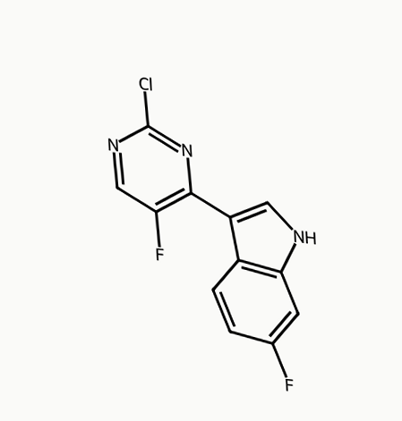 Fc1ccc2c(-c3nc(Cl)ncc3F)c[nH]c2c1